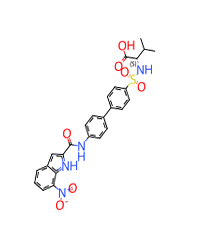 CC(C)[C@H](NS(=O)(=O)c1ccc(-c2ccc(NC(=O)c3cc4cccc([N+](=O)[O-])c4[nH]3)cc2)cc1)C(=O)O